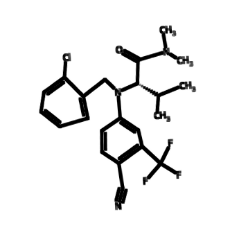 CC(C)[C@@H](C(=O)N(C)C)N(Cc1ccccc1Cl)c1ccc(C#N)c(C(F)(F)F)c1